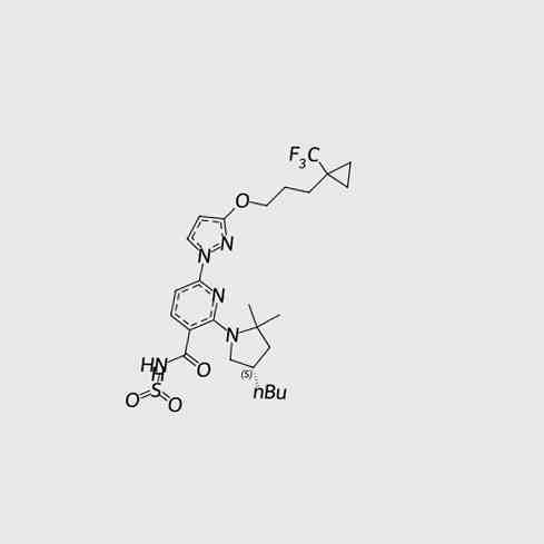 CCCC[C@@H]1CN(c2nc(-n3ccc(OCCCC4(C(F)(F)F)CC4)n3)ccc2C(=O)N[SH](=O)=O)C(C)(C)C1